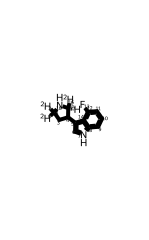 [2H]C1([2H])CC(c2c[nH]c3cccc(F)c23)C([2H])([2H])N1